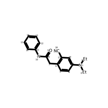 CCN(CC)c1ccc(CC(=O)[N]c2ccccc2)c(C#N)c1